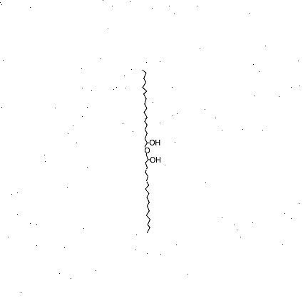 CCCCCCCCCCCCCCCCCC(O)COCC(O)CCCCCCCCCCCCCCCCC